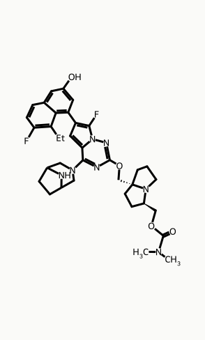 CCc1c(F)ccc2cc(O)cc(-c3cc4c(N5CC6CCC(C5)N6)nc(OC[C@]56CCCN5[C@@H](COC(=O)N(C)C)CC6)nn4c3F)c12